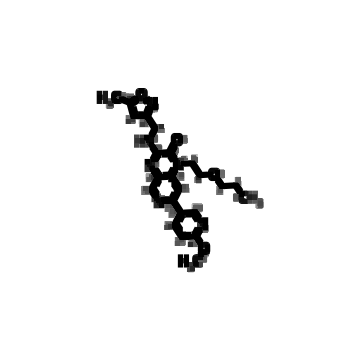 CCCOCCn1c(=O)c(NCc2cc(C)on2)nc2cnc(-c3ccc(OC)nc3)cc21